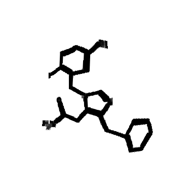 NC(=O)Cc1c(Cc2ccccc2)ncn1Cc1cc(O)ccc1F